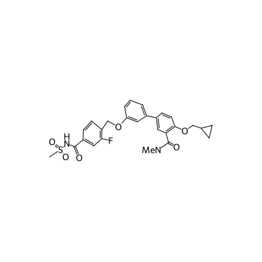 CNC(=O)c1cc(-c2cccc(OCc3ccc(C(=O)NS(C)(=O)=O)cc3F)c2)ccc1OCC1CC1